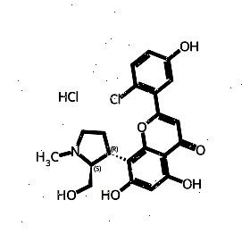 CN1CC[C@H](c2c(O)cc(O)c3c(=O)cc(-c4cc(O)ccc4Cl)oc23)[C@H]1CO.Cl